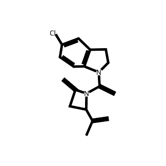 C=C(C)C1CC(=C)N1C(=C)N1CCc2cc(Cl)ccc21